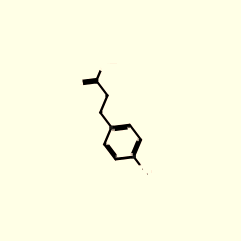 O=[N+]([O-])c1ccc(CCC(O)=S)cc1